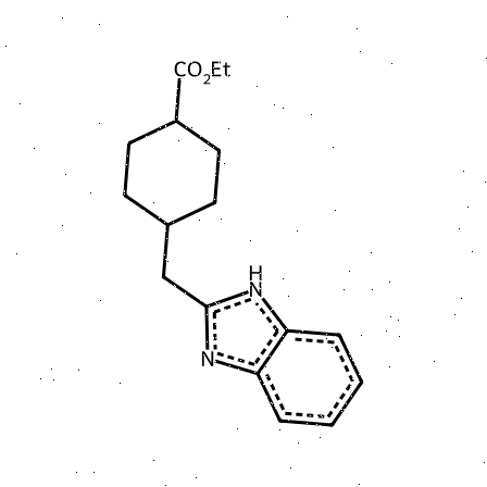 CCOC(=O)C1CCC(Cc2nc3ccccc3[nH]2)CC1